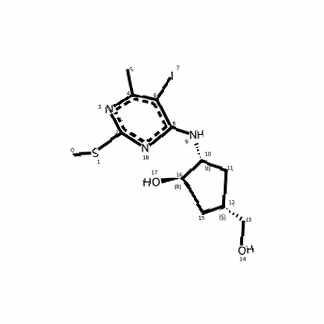 CSc1nc(C)c(I)c(N[C@@H]2C[C@H](CO)C[C@H]2O)n1